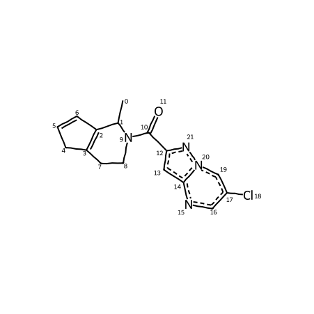 CC1C2=C(CC=C2)CCN1C(=O)c1cc2ncc(Cl)cn2n1